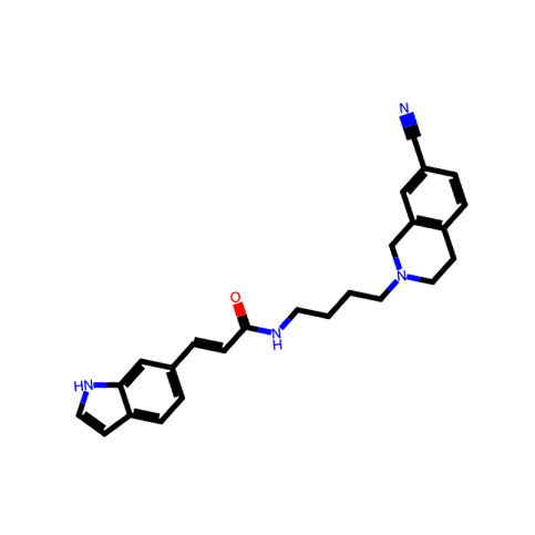 N#Cc1ccc2c(c1)CN(CCCCNC(=O)/C=C/c1ccc3cc[nH]c3c1)CC2